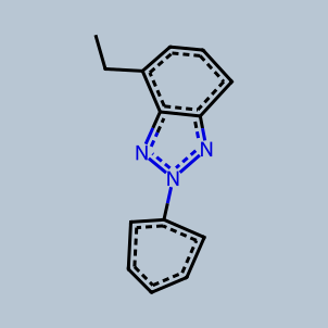 CCc1cccc2nn(-c3ccccc3)nc12